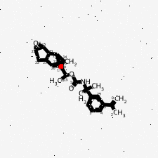 C=C(C)c1cccc(C(C)(C)NC(=O)OC(C)C2CC3C4C(CC5OC54)C2[C@@H]3C)c1